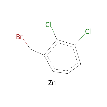 Clc1cccc(CBr)c1Cl.[Zn]